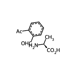 CC(=O)c1ccccc1C=O.C[C@H](N)C(=O)O